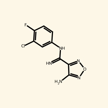 N=C(Nc1ccc(F)c(Cl)c1)c1nonc1N